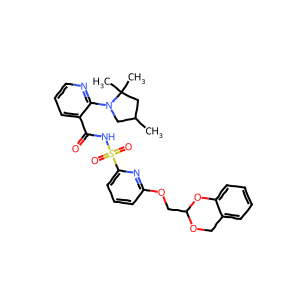 CC1CN(c2ncccc2C(=O)NS(=O)(=O)c2cccc(OCC3OCc4ccccc4O3)n2)C(C)(C)C1